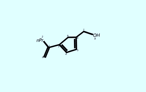 C=C(CCC)C1=CC=C(CO)C1